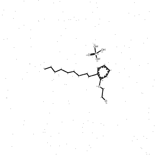 CCCCCCCCCc1ccccc1OCC[O].O=P(O)(O)O